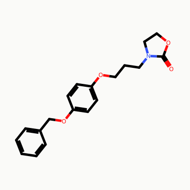 O=C1OCCN1CCCOc1ccc(OCc2ccccc2)cc1